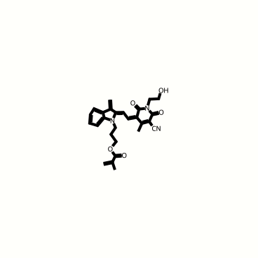 C=C(C)C(=O)OCCCn1/c(=C\C=C2/C(=O)N(CCO)C(=O)C(C#N)=C2C)c(=C)c2ccccc21